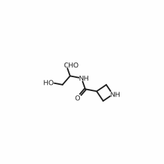 O=CC(CO)NC(=O)C1CNC1